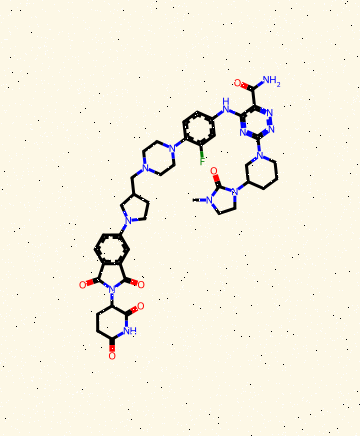 CN1CCN(C2CCCN(c3nnc(C(N)=O)c(Nc4ccc(N5CCN(CC6CCN(c7ccc8c(c7)C(=O)N(C7CCC(=O)NC7=O)C8=O)C6)CC5)c(F)c4)n3)C2)C1=O